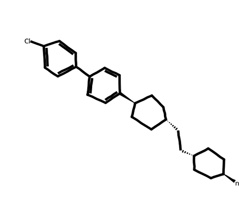 CCCC[C@H]1CC[C@H](CC[C@H]2CC[C@H](c3ccc(-c4ccc(Cl)cc4)cc3)CC2)CC1